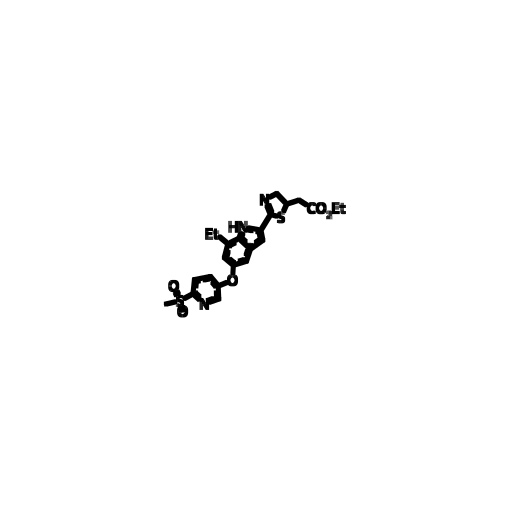 CCOC(=O)CC1CN=C(c2cc3cc(Oc4ccc(S(C)(=O)=O)nc4)cc(CC)c3[nH]2)S1